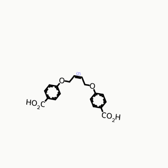 O=C(O)c1ccc(OC/C=C\COc2ccc(C(=O)O)cc2)cc1